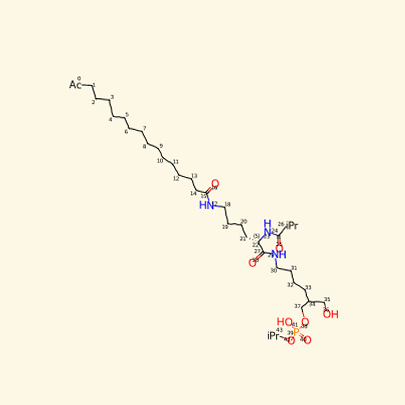 CC(=O)CCCCCCCCCCCCCCC(=O)NCCCC[C@H](NC(=O)C(C)C)C(=O)NCCCCC(CO)COP(=O)(O)OC(C)C